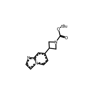 CC(C)(C)OC(=O)N1CC(c2ccn3ccnc3c2)C1